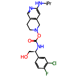 CC(C)Nc1cc2c(cn1)CCN(OC(=O)N[C@H](CO)c1ccc(F)c(Cl)c1)C2